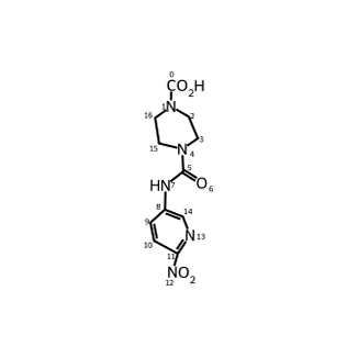 O=C(O)N1CCN(C(=O)Nc2ccc([N+](=O)[O-])nc2)CC1